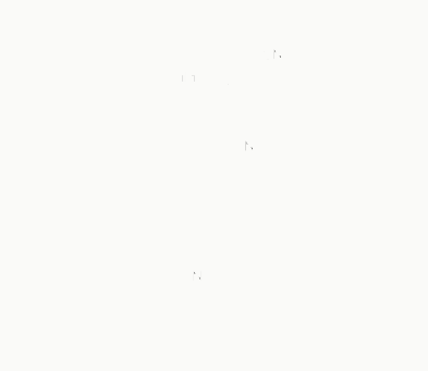 CC(C)C1(CC#N)CCN(Cc2ccc(N3CCCC3)cc2)CC1